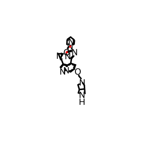 N#Cc1cnn2cc(OCCN3CC4CNCC4C3)cc(-c3cnc(N4CC5CC(C4)N5CCOC4CC4)cn3)c12